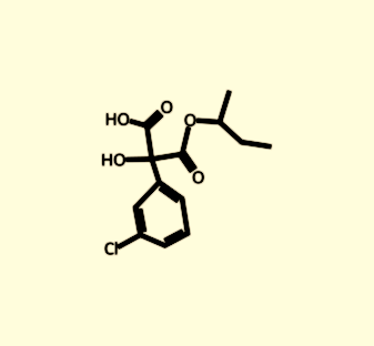 CCC(C)OC(=O)C(O)(C(=O)O)c1cccc(Cl)c1